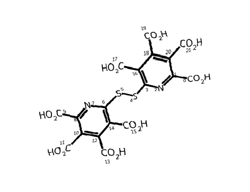 O=C(O)c1nc(SSc2nc(C(=O)O)c(C(=O)O)c(C(=O)O)c2C(=O)O)c(C(=O)O)c(C(=O)O)c1C(=O)O